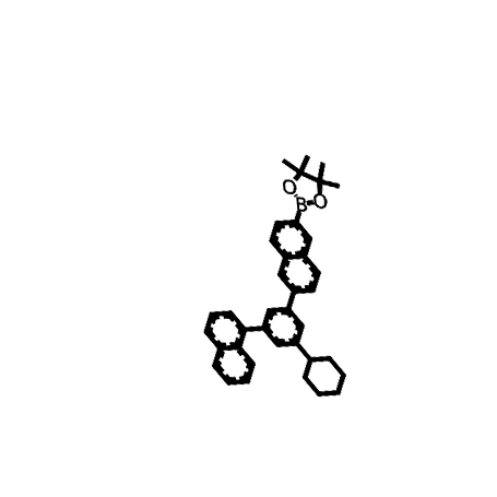 CC1(C)OB(c2ccc3cc(-c4cc(-c5cccc6ccccc56)cc(C5CCCCC5)c4)ccc3c2)OC1(C)C